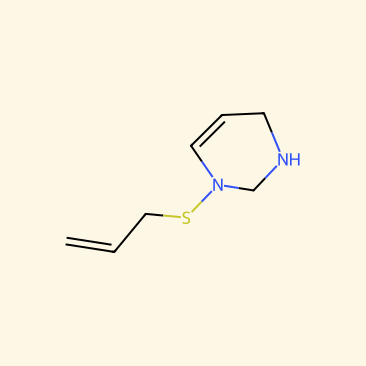 C=CCSN1C=CCNC1